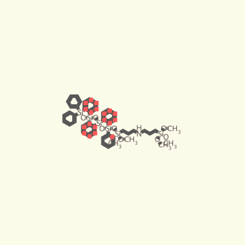 CO[Si](CCCNCCC[Si](OC)(OC)O[Si](O[Si](O[Si](O[Si](c1ccccc1)(c1ccccc1)c1ccccc1)(c1ccccc1)c1ccccc1)(c1ccccc1)c1ccccc1)(c1ccccc1)c1ccccc1)(OC)OC